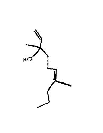 C=CC(C)(O)CCC=C(C)CCC